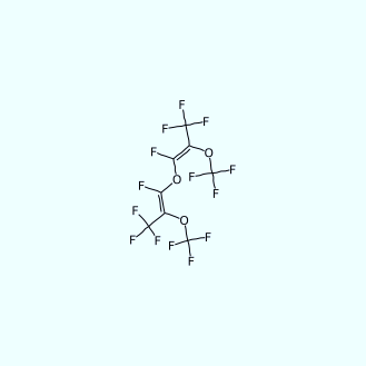 FC(OC(F)=C(OC(F)(F)F)C(F)(F)F)=C(OC(F)(F)F)C(F)(F)F